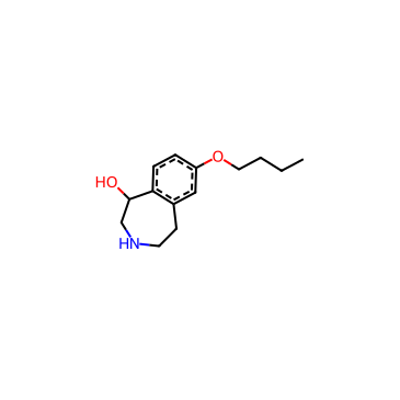 CCCCOc1ccc2c(c1)CCNCC2O